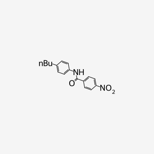 CCCCc1ccc(NC(=O)c2ccc([N+](=O)[O-])cc2)cc1